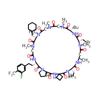 CCC(C)[C@@H]1NC(=O)[C@H](CC(C)C)N(C)C(=O)C[C@@H](C)NC(=O)[C@H](CC(C)C)N(C)C(=O)C2(CCC2)NC(=O)[C@@H]2CCCN2C(=O)[C@H](CCc2ccc(C(F)(F)F)c(F)c2)NC(=O)CN(C)C(=O)[C@H](CC2CCCCC2)N(C)C(=O)CN(C)C(=O)CN(C)C1=O